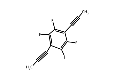 CC#Cc1c(F)c(F)c(C#CC)c(F)c1F